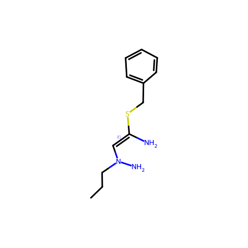 CCCN(N)/C=C(\N)SCc1ccccc1